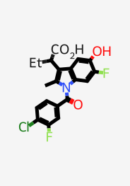 CCC(C(=O)O)c1c(C)n(C(=O)c2ccc(Cl)c(F)c2)c2cc(F)c(O)cc12